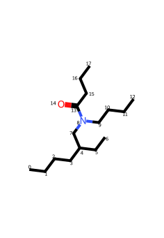 CCCCC(CC)CN(CCCC)C(=O)CCC